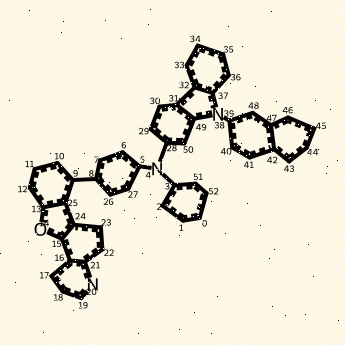 c1ccc(N(c2ccc(-c3cccc4oc5c6cccnc6ccc5c34)cc2)c2ccc3c4ccccc4n(-c4ccc5ccccc5c4)c3c2)cc1